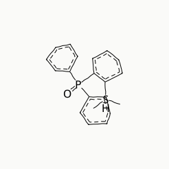 C[SH](C)c1ccccc1P(=O)(c1ccccc1)c1ccccc1